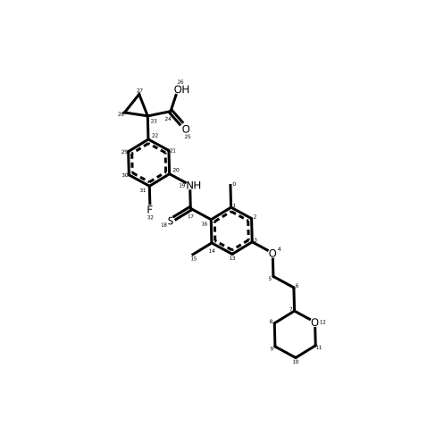 Cc1cc(OCCC2CCCCO2)cc(C)c1C(=S)Nc1cc(C2(C(=O)O)CC2)ccc1F